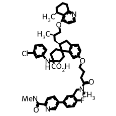 CNC(=O)c1ccc(-c2ccc(F)c(CN(C)C(=O)CCCOc3ccc4c(c3)C3(CCC(Nc5cccc(Cl)c5)(C(=O)O)CC3)[C@@H](C[C@@H](C)COc3ccnc5c3[C@H](C)CCC5)C4)c2)cn1